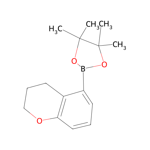 CC1(C)OB(c2cccc3c2CCCO3)OC1(C)C